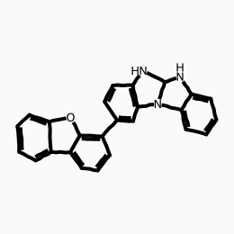 c1ccc2c(c1)NC1Nc3ccc(-c4cccc5c4oc4ccccc45)cc3N21